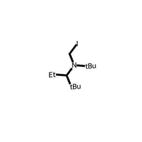 CCC(N(CI)C(C)(C)C)C(C)(C)C